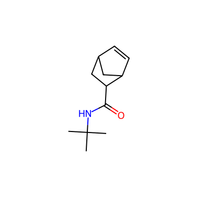 CC(C)(C)NC(=O)C1CC2C=CC1C2